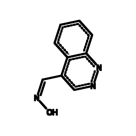 O/N=C\c1cnnc2ccccc12